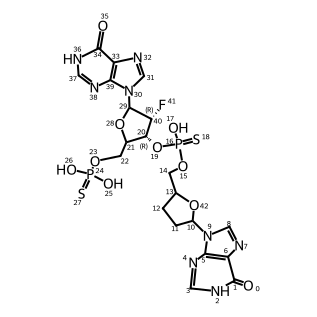 O=c1[nH]cnc2c1ncn2C1CCC(COP(O)(=S)O[C@@H]2C(COP(O)(O)=S)OC(n3cnc4c(=O)[nH]cnc43)[C@@H]2F)O1